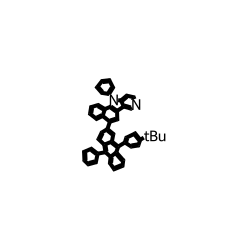 CC(C)(C)c1ccc(-c2c3ccccc3c(-c3ccccc3)c3ccc(-c4cc5c6cnccc6n(-c6ccccc6)c5c5ccccc45)cc23)cc1